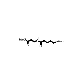 CCCCCCCCCCCC(=O)NCCC(=O)OC